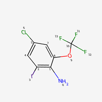 Nc1c(I)cc(Cl)cc1OC(F)(F)F